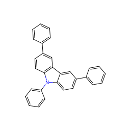 c1ccc(-c2ccc3c(c2)c2cc(-c4ccccc4)ccc2n3-c2ccccc2)cc1